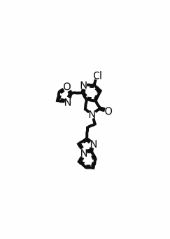 O=C1c2cc(Cl)nc(-c3ncco3)c2CN1CCc1cn2ccccc2n1